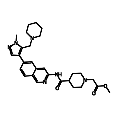 COC(=O)CN1CCC(C(=O)Nc2cc3cc(-c4cnn(C)c4CN4CCCCC4)ccc3cn2)CC1